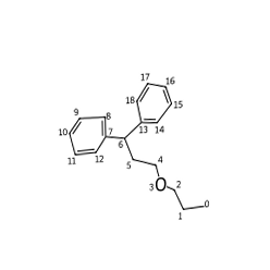 CCCOCCC(c1ccccc1)c1ccccc1